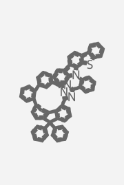 c1ccc(C2(c3ccccc3)c3ccc4cc3-c3c(cccc32)-c2nc(nc(-c3ccccc3-n3c5ccccc5c5ccc6c7ccccc7sc6c53)n2)-c2cccc(c2)-c2ccccc2-4)cc1